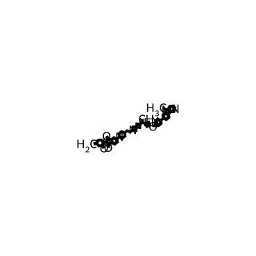 C=C1CCC(N2C(=O)c3ccc(N4CCC(CCN5CC6(CC(N(C)[C@H]7C[C@H](Oc8ccc(-c9ccc%10c%11cnccc%11n(C)c%10c9)cn8)C7)C6)C5)CC4)cc3C2=O)C(=O)C1